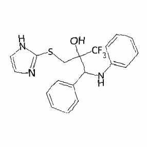 OC(CSc1ncc[nH]1)(C(Nc1ccccc1)c1ccccc1)C(F)(F)F